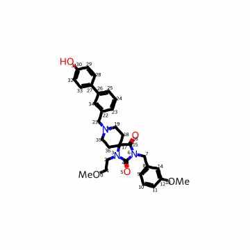 COCCN1C(=O)N(Cc2cccc(OC)c2)C(=O)C12CCN(Cc1cccc(-c3ccc(O)cc3)c1)CC2